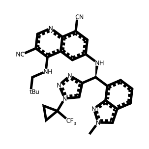 Cn1cc2cccc([C@H](Nc3cc(C#N)c4ncc(C#N)c(NCC(C)(C)C)c4c3)c3cn(C4(C(F)(F)F)CC4)nn3)c2n1